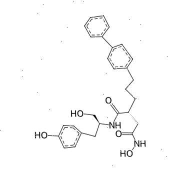 O=C(C[C@@H](CCCc1ccc(-c2ccccc2)cc1)C(=O)N[C@H](CO)Cc1ccc(O)cc1)NO